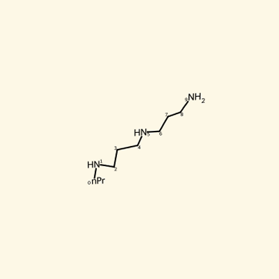 CCCNCCCNCCCN